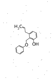 C=CCc1cccc(O)c1COc1ccccc1